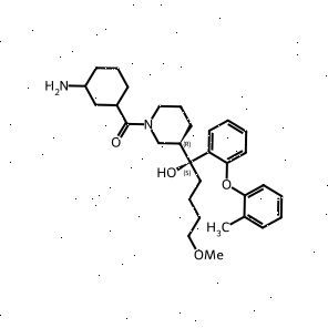 COCCCC[C@@](O)(c1ccccc1Oc1ccccc1C)[C@@H]1CCCN(C(=O)C2CCCC(N)C2)C1